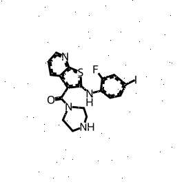 O=C(c1c(Nc2ccc(I)cc2F)sc2ncccc12)N1CCNCC1